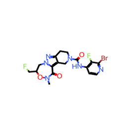 CN1OC(CF)Cn2nc3c(c2C1=O)CN(C(=O)Nc1ccnc(Br)c1F)CC3